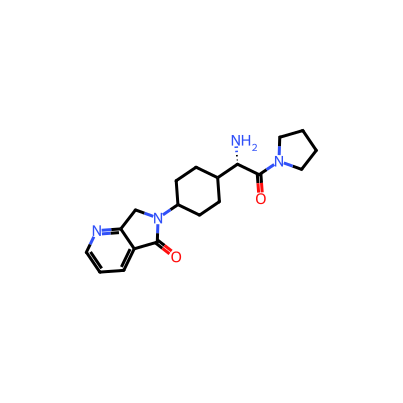 N[C@H](C(=O)N1CCCC1)C1CCC(N2Cc3ncccc3C2=O)CC1